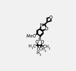 COc1cc2nc(C3COC3)oc2cc1B1OC(C)(C)C(C)(C)O1